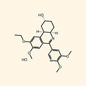 CCOc1cc2c(cc1OC)C(c1cnc(OC)c(OC)c1)=N[C@@H]1CC[C@@H](O)C[C@H]21.Cl